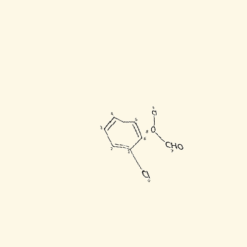 Clc1ccccc1.O=COCl